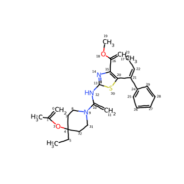 C=C(C)OC1(CC)CCN(C(=C)Nc2nc(C(=C)OC)c(/C(=C\C)c3ccccc3)s2)CC1